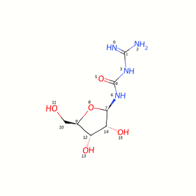 N=C(N)NC(=O)N[C@@H]1O[C@H](CO)[C@@H](O)[C@H]1O